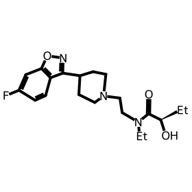 CC[C@@H](O)C(=O)N(CC)CCN1CCC(c2noc3cc(F)ccc23)CC1